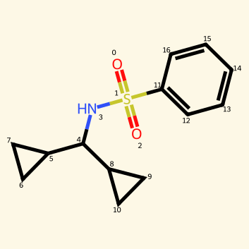 O=S(=O)(NC(C1CC1)C1CC1)c1ccccc1